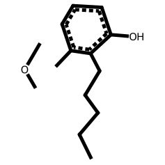 CCCCCc1c(C)cccc1O.COC